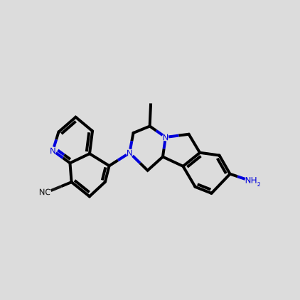 CC1CN(c2ccc(C#N)c3ncccc23)CC2c3ccc(N)cc3CN12